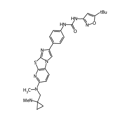 CNC1(CN(C)c2ccc3c(n2)sc2nc(-c4ccc(NC(=O)Nc5cc(C(C)(C)C)on5)cc4)cn23)CC1